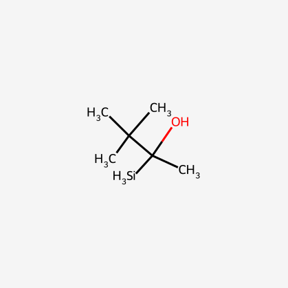 CC(C)(C)C(C)(O)[SiH3]